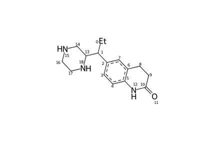 CCC(c1ccc2c(c1)CCC(=O)N2)C1CNCCN1